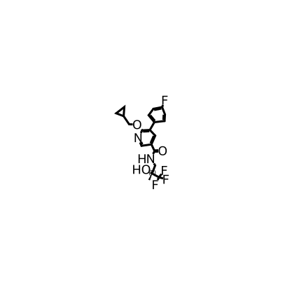 C[C@@](O)(CNC(=O)c1cnc(OCC2CC2)c(-c2ccc(F)cc2)c1)C(F)(F)F